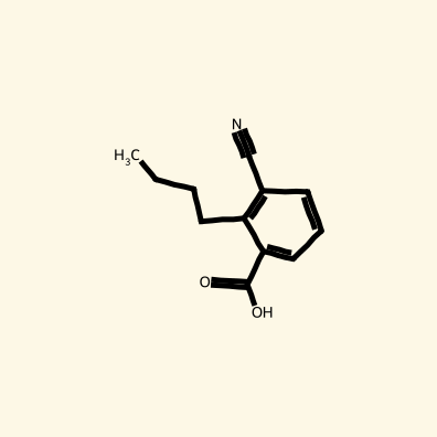 CCCCc1c(C#N)cccc1C(=O)O